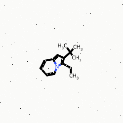 CCc1c(C(C)(C)C)cc2ccccn12